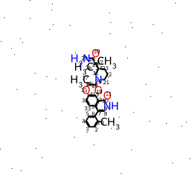 Cc1ccccc1-c1c[nH]c(=O)c2cc(O[C@H](C)C(=O)N3CCCC(C(C)(C)C(N)=O)C3)ccc12